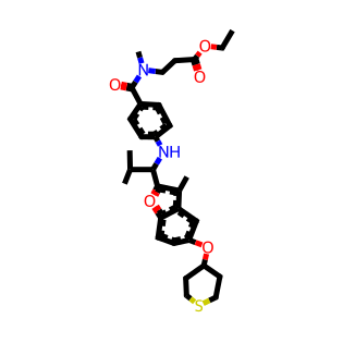 CCOC(=O)CCN(C)C(=O)c1ccc(NC(c2oc3ccc(OC4CCSCC4)cc3c2C)C(C)C)cc1